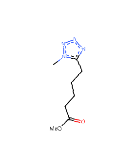 COC(=O)CCCCc1nnnn1C